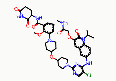 CNC(=O)COc1cc2cc(Nc3nc(N4CCC(OC5CCN(c6cccc(C(=O)NC7CCC(=O)NC7=O)c6OC)CC5)CC4)ncc3Cl)ccc2n(C(C)C)c1=O